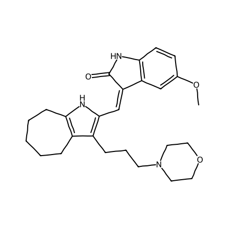 COc1ccc2c(c1)/C(=C/c1[nH]c3c(c1CCCN1CCOCC1)CCCCC3)C(=O)N2